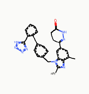 CCCc1nc2c(C)cc(C3=NNC(=O)CC3)cc2n1Cc1ccc(-c2ccccc2-c2nnn[nH]2)cc1